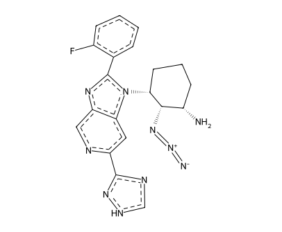 [N-]=[N+]=N[C@@H]1[C@H](n2c(-c3ccccc3F)nc3cnc(-c4nc[nH]n4)cc32)CCC[C@@H]1N